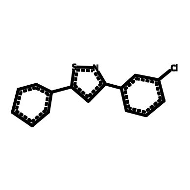 Clc1cccc(-c2cc(-c3ccccc3)sn2)c1